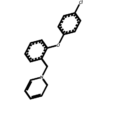 Clc1ccc(Oc2ccccc2CN2C=CC=CC2)cc1